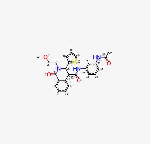 COCCN1C(=O)c2ccccc2C(C(=O)Nc2cccc(NC(C)=O)c2)C1c1cccs1